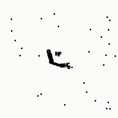 F.N[C]=O